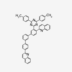 Cc1ccc(-c2nc(-c3ccc(C)cc3)nc(-c3cc(-c4cccc(-c5ccc(-c6ccc7ccccc7n6)cc5)c4)ccc3-c3ccc4ccccc4n3)n2)cc1